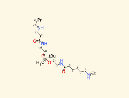 CCNCCCCCC(=O)NCCOC(C)(OCCNC(=O)CCNCC(C)C)C(C)(C)C